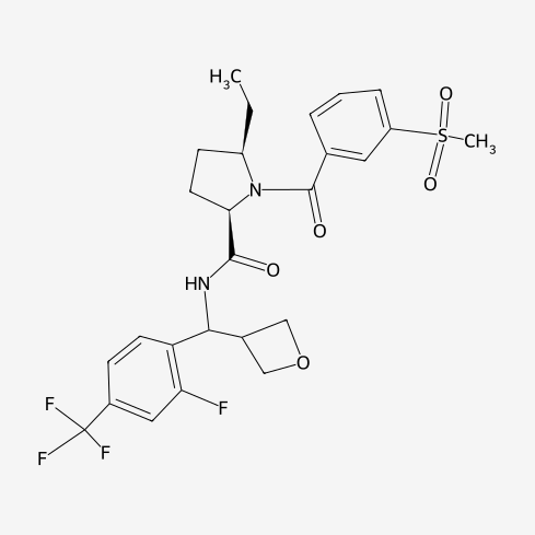 CC[C@@H]1CC[C@H](C(=O)NC(c2ccc(C(F)(F)F)cc2F)C2COC2)N1C(=O)c1cccc(S(C)(=O)=O)c1